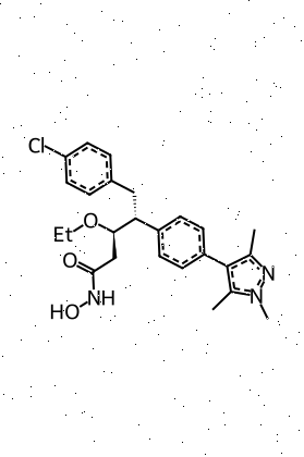 CCO[C@H](CC(=O)NO)[C@H](Cc1ccc(Cl)cc1)c1ccc(-c2c(C)nn(C)c2C)cc1